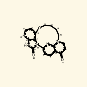 O=c1ccn2c3nc(ccc13)-n1c(=O)[nH]c3nccc(c31)OCCCC2